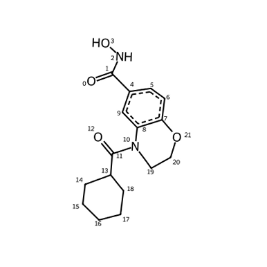 O=C(NO)c1ccc2c(c1)N(C(=O)C1CCCCC1)CCO2